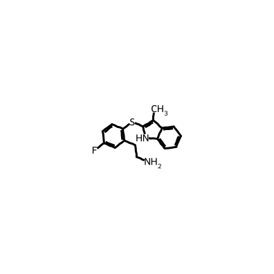 Cc1c(Sc2ccc(F)cc2CCN)[nH]c2ccccc12